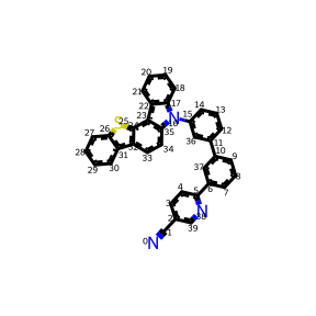 N#Cc1ccc(-c2cccc(-c3cccc(-n4c5ccccc5c5c6sc7ccccc7c6ccc54)c3)c2)nc1